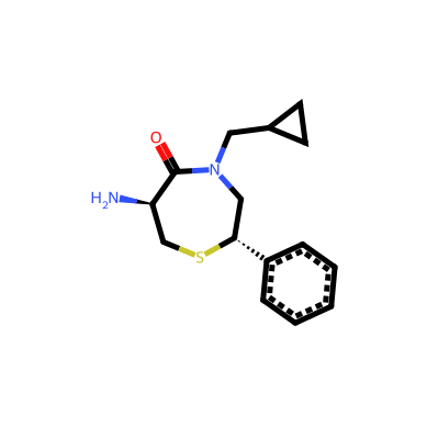 N[C@@H]1CS[C@@H](c2ccccc2)CN(CC2CC2)C1=O